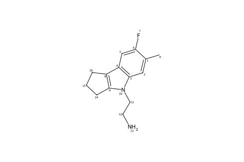 Cc1cc2c(cc1F)c1c(n2CCN)CCC1